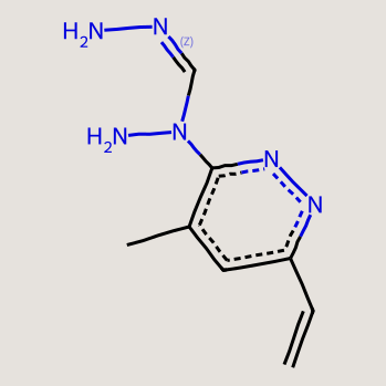 C=Cc1cc(C)c(N(N)/C=N\N)nn1